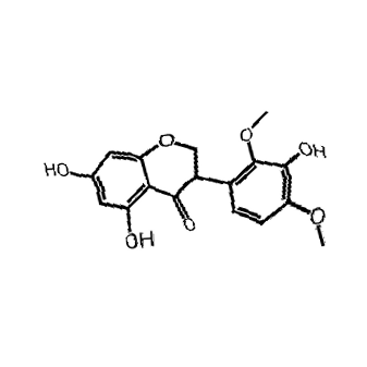 COc1ccc(C2COc3cc(O)cc(O)c3C2=O)c(OC)c1O